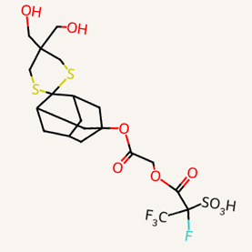 O=C(COC(=O)C(F)(C(F)(F)F)S(=O)(=O)O)OC12CC3CC(C1)C1(SCC(CO)(CO)CS1)C(C3)C2